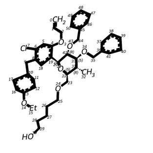 C=CCOc1cc(Cl)c(Cc2ccc(OCC)cc2)cc1[C@@H]1O[C@H](COCCCCCO)[C@@H](C)[C@H](OCc2ccccc2)[C@H]1OCc1ccccc1